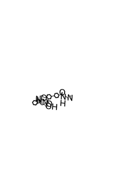 CCOc1ccc(-c2ccc(C(=O)NCCN(C)C)cc2)cc1C(=O)N[C@@H](CO)Cc1cn(C)c2ccccc12